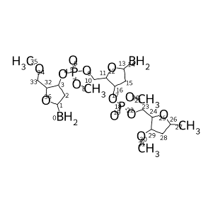 BC1CC(OP(=O)(OC)OCC2OC(B)CC2OP(=O)(OC)OCC2OC(C)CC2OC)C(COC)O1